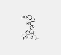 CC(C)CC(=O)N1CCC(=CC(=O)Nc2cccc3c2CC(O)CC3)c2ccc(C(F)(F)F)cc21